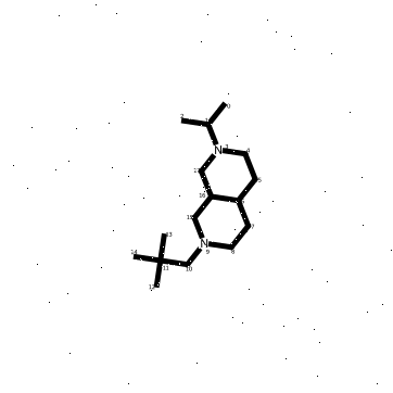 CC(C)N1CCC2CCN(CC(C)(C)C)CC2C1